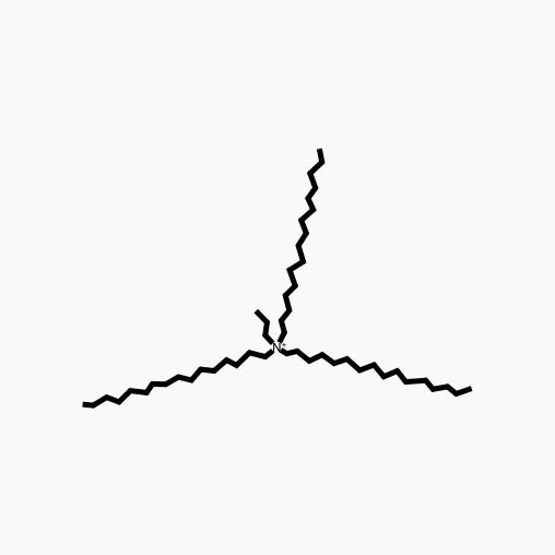 CCCCCCCCCCCCCCCC[N+](CCC)(CCCCCCCCCCCCCCCC)CCCCCCCCCCCCCCCC